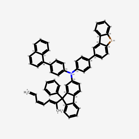 C=C/C=C\C=C(/C)C1(c2ccccc2)c2ccccc2-c2ccc(N(c3ccc(-c4ccc5sc6ccccc6c5c4)cc3)c3ccc(-c4cccc5ccccc45)cc3)cc21